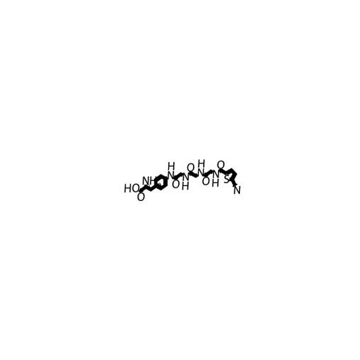 N#Cc1ccc(C(=O)NCC(=O)NCC(=O)NCC(=O)Nc2ccc(C[C@H](N)C(=O)O)cc2)s1